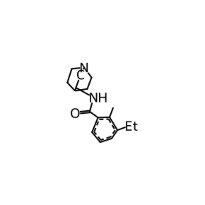 CCc1cccc(C(=O)NC2CN3CCC2CC3)c1C